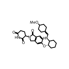 COC1CCC(=CNC2CCCC[C@@H]2Oc2ccc3c(c2)CN(C2CCC(=O)NC2=O)C3=O)CC1